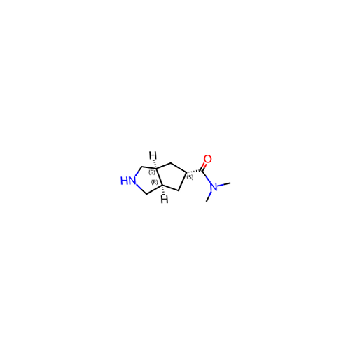 CN(C)C(=O)[C@@H]1C[C@H]2CNC[C@H]2C1